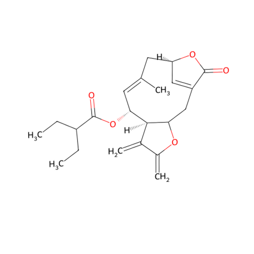 C=C1OC2CC3=C[C@@H](C/C(C)=C/[C@@H](OC(=O)C(CC)CC)[C@@H]2C1=C)OC3=O